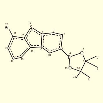 CC1(C)OB(c2ccc3sc4c(Br)cccc4c3c2)OC1(C)C